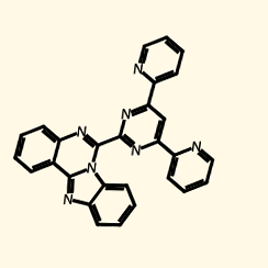 c1ccc(-c2cc(-c3ccccn3)nc(-c3nc4ccccc4c4nc5ccccc5n34)n2)nc1